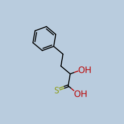 OC(=S)C(O)CCc1ccccc1